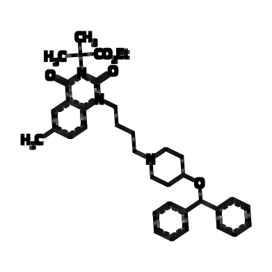 CCOC(=O)C(C)(C)n1c(=O)c2cc(C)ccc2n(CCCCN2CCC(OC(c3ccccc3)c3ccccc3)CC2)c1=O